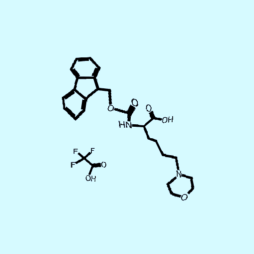 O=C(NC(CCCCN1CCOCC1)C(=O)O)OCC1c2ccccc2-c2ccccc21.O=C(O)C(F)(F)F